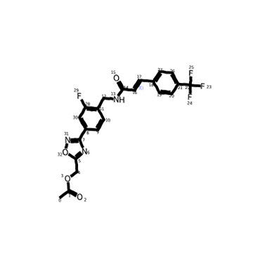 CC(=O)OCc1nc(-c2ccc(CNC(=O)/C=C/c3ccc(C(F)(F)F)cc3)c(F)c2)no1